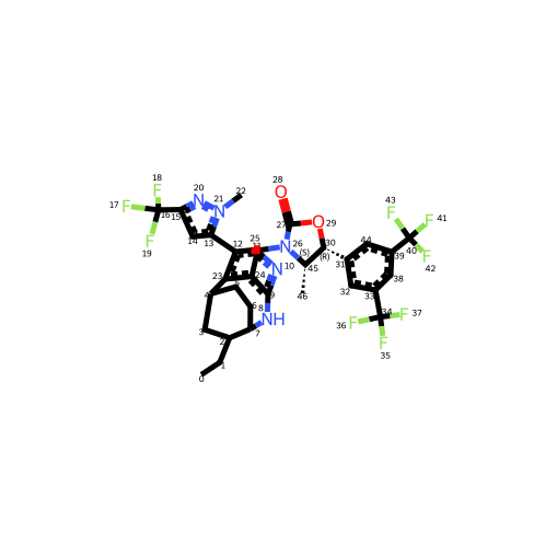 CCC1CC2CCC1Nc1ncc(-c3cc(C(F)(F)F)nn3C)c2c1CN1C(=O)O[C@H](c2cc(C(F)(F)F)cc(C(F)(F)F)c2)[C@@H]1C